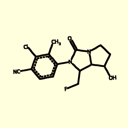 Cc1c(N2C(=O)N3CCC(O)C3C2CF)ccc(C#N)c1Cl